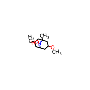 COC1CC2CC(C)CC(C)(C1)N2O